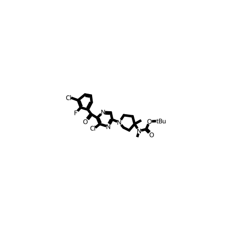 CN(C(=O)OC(C)(C)C)C1(C)CCN(c2cnc(C(=O)c3cccc(Cl)c3F)c(Cl)n2)CC1